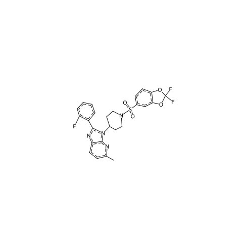 Cc1ccc2nc(-c3ccccc3F)n(C3CCN(S(=O)(=O)c4ccc5c(c4)OC(F)(F)O5)CC3)c2n1